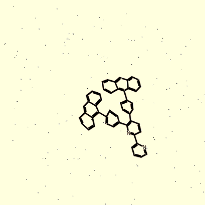 c1ccc(-c2ccc(-c3ccc(-c4c5ccccc5cc5ccccc45)cc3)c(-c3ccc(-c4c5ccccc5cc5ccccc45)cc3)n2)nc1